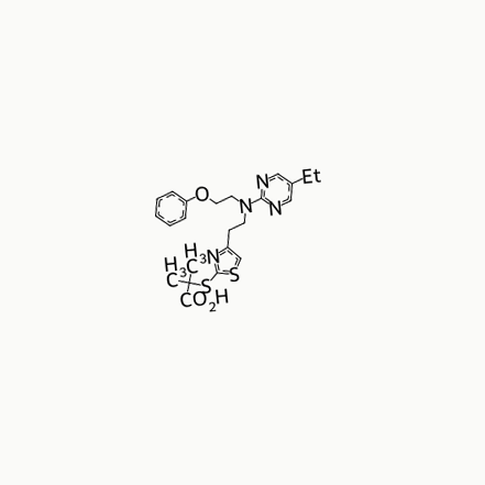 CCc1cnc(N(CCOc2ccccc2)CCc2csc(SC(C)(C)C(=O)O)n2)nc1